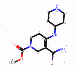 CC(C)(C)OC(=O)N1CCC(NC2CCNCC2)=C(C(N)I)C1